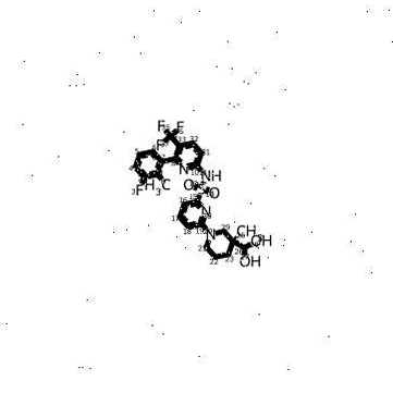 Cc1c(F)cccc1-c1nc(NS(=O)(=O)c2cccc(N3CCC[C@@](C)(C(O)O)C3)n2)ccc1C(F)(F)F